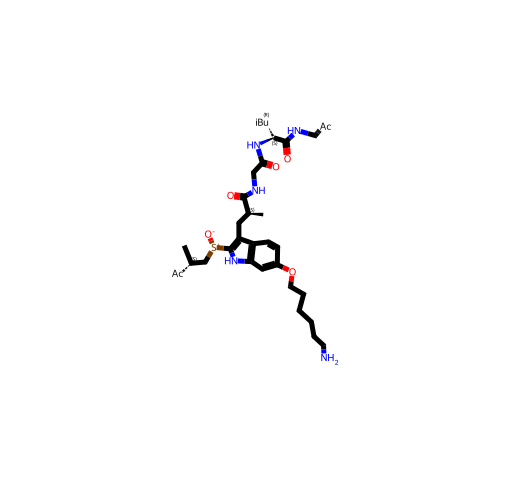 CC[C@@H](C)[C@H](NC(=O)CNC(=O)[C@@H](C)Cc1c([S+]([O-])C[C@@H](C)C(C)=O)[nH]c2cc(OCCCCCCN)ccc12)C(=O)NCC(C)=O